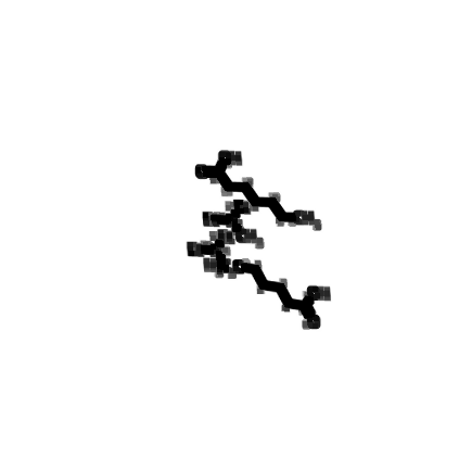 CCCCCC(=O)O.CCCCCCC(=O)O.CCN(C)CC.CCN(C)CC